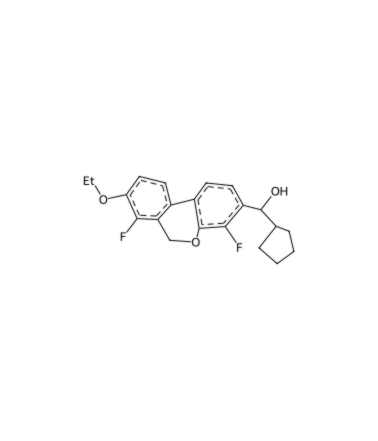 CCOc1ccc2c(c1F)COc1c-2ccc(C(O)C2CCCC2)c1F